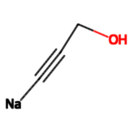 OCC#[C][Na]